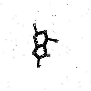 Clc1nc(Br)c2[nH]c(Br)nc2n1